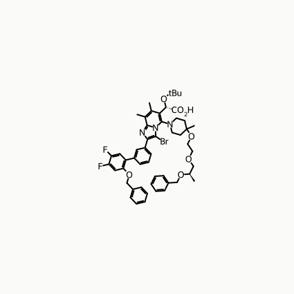 Cc1c([C@H](OC(C)(C)C)C(=O)O)c(N2CCC(C)(OCCOC[C@@H](C)OCc3ccccc3)CC2)n2c(Br)c(-c3cccc(-c4cc(F)c(F)cc4OCc4ccccc4)c3)nc2c1C